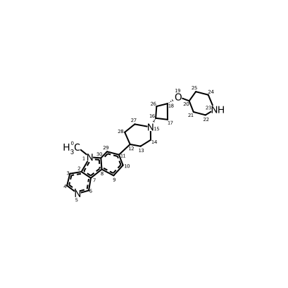 Cn1c2ccncc2c2ccc(C3CCN([C@H]4C[C@@H](OC5CCNCC5)C4)CC3)cc21